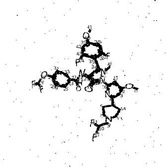 COc1cc(C2CCN(CC(F)F)CC2)nc(-n2c(=O)c(NC(=O)c3ccc(OC(F)F)cc3)c(-c3c(F)cc(OC)cc3F)n2C)c1